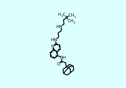 CC(C)(C)CCNCCCNc1ccc2c(NC(=O)CC34CC5CC(CC(C5)C3)C4)cccc2n1